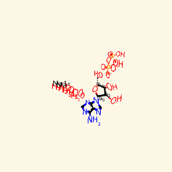 Nc1ncnc2c1ncn2[C@@H]1O[C@H](CO)[C@@H](O)[C@H]1O.O.O.O.O.O.O.O=P([O-])([O-])OP(=O)(O)O.[Na+].[Na+]